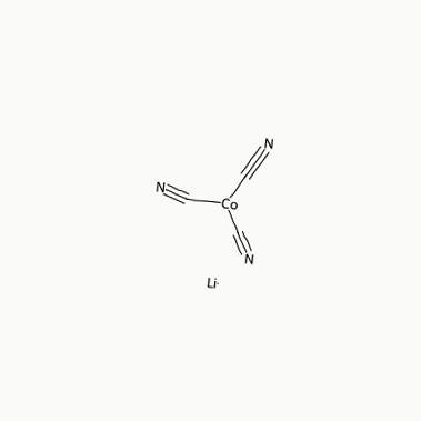 N#[C][Co]([C]#N)[C]#N.[Li]